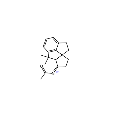 CC(=O)/N=C1/CCC2(CCc3ccccc32)C1C(C)(C)C